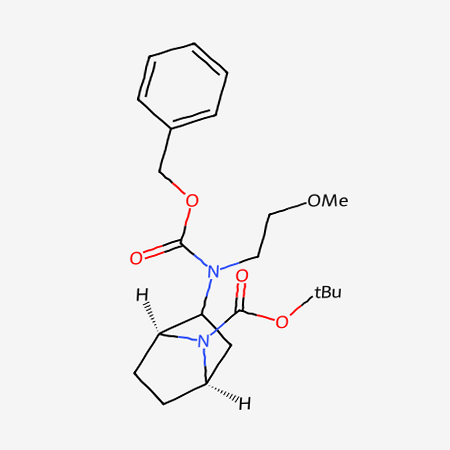 COCCN(C(=O)OCc1ccccc1)C1C[C@H]2CC[C@@H]1N2C(=O)OC(C)(C)C